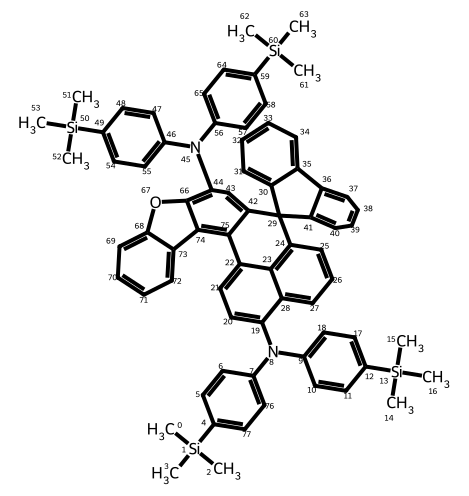 C[Si](C)(C)c1ccc(N(c2ccc([Si](C)(C)C)cc2)c2ccc3c4c(cccc24)C2(c4ccccc4-c4ccccc42)c2cc(N(c4ccc([Si](C)(C)C)cc4)c4ccc([Si](C)(C)C)cc4)c4oc5ccccc5c4c2-3)cc1